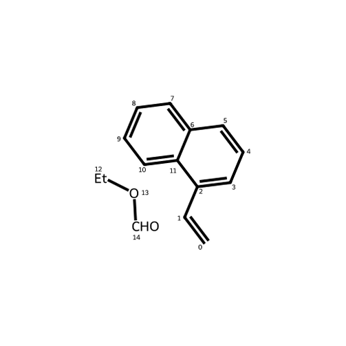 C=Cc1cccc2ccccc12.CCOC=O